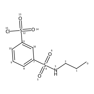 CCCNS(=O)(=O)c1cccc(S(=O)(=O)Cl)c1